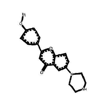 CCOc1ccc(-c2cc(=O)c3cc(N4CCNCC4)ccc3o2)cc1